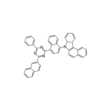 C1=CC2c3c(ccc4ccccc34)N(c3ccc(-c4nc(-c5ccccc5)nc(-c5ccc6ccccc6c5)n4)c4ccccc34)C2C=C1